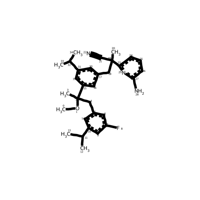 COC(C)(Cc1cc(F)cc(C(C)C)c1)c1cc(CC(C)(C#N)c2cccc(N)n2)cc(C(C)C)c1